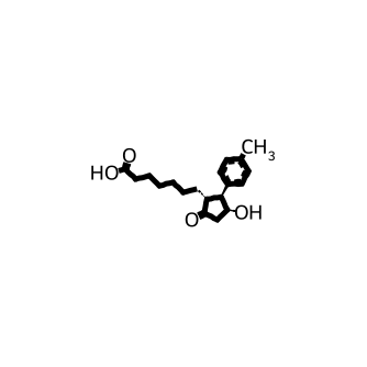 Cc1ccc([C@H]2[C@H](O)CC(=O)[C@@H]2CCCCCCC(=O)O)cc1